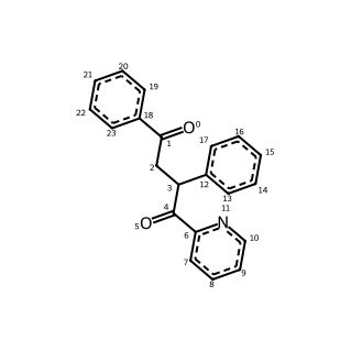 O=C(CC(C(=O)c1ccccn1)c1ccccc1)c1ccccc1